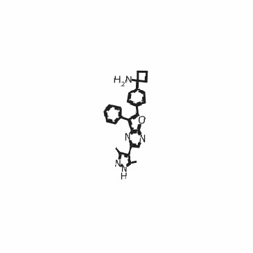 Cc1n[nH]c(C)c1-c1cnc2oc(-c3ccc(C4(N)CCC4)cc3)c(-c3ccccc3)c2n1